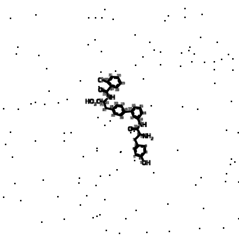 NC(Cc1ccc(O)cc1)C(=O)Nc1cccc(-c2ccc(C[C@H](NC(=O)c3ccccc3Cl)C(=O)O)cc2)c1